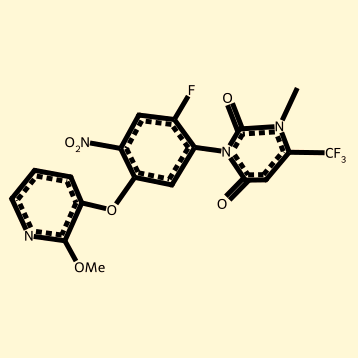 COc1ncccc1Oc1cc(-n2c(=O)cc(C(F)(F)F)n(C)c2=O)c(F)cc1[N+](=O)[O-]